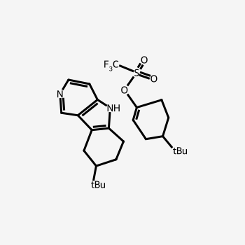 CC(C)(C)C1CC=C(OS(=O)(=O)C(F)(F)F)CC1.CC(C)(C)C1CCc2[nH]c3ccncc3c2C1